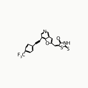 O=C1NC(=S)S/C1=C/c1cc2cncc(C#Cc3ccc(C(F)(F)F)cc3)c2o1